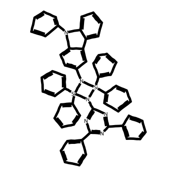 c1ccc(-c2nc(-c3ccccc3)nc(N3[Si](c4ccccc4)(c4ccccc4)N(c4ccc5c(c4)c4ccccc4n5-c4ccccc4)[Si]3(c3ccccc3)c3ccccc3)n2)cc1